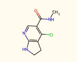 CNC(=O)c1cnc2c(c1Cl)CCN2